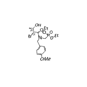 CCOP(=O)(CN(Cc1ccc(OC)cc1)C(=O)[C@@H](Br)[C@@H](C)O)OCC